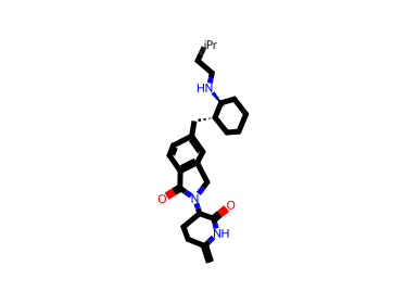 C=C1CCC(N2Cc3cc(C[C@H]4CCCC[C@@H]4NCCC(C)C)ccc3C2=O)C(=O)N1